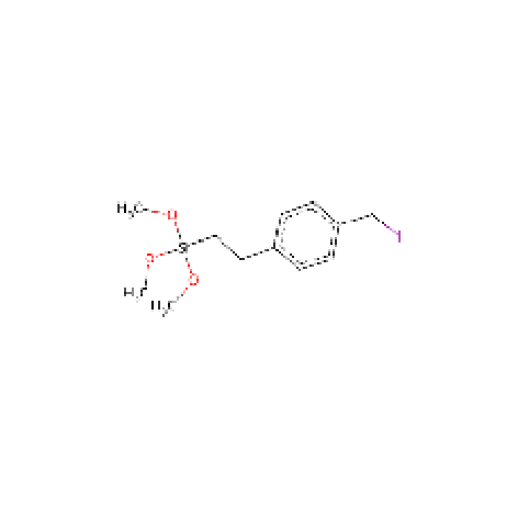 CO[Si](CCc1ccc(CI)cc1)(OC)OC